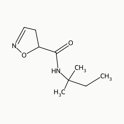 CCC(C)(C)NC(=O)C1CC=NO1